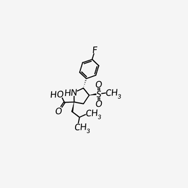 CC(C)C[C@]1(C(=O)O)C[C@H](S(C)(=O)=O)[C@@H](c2ccc(F)cc2)N1